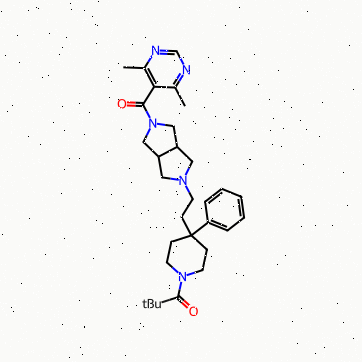 Cc1ncnc(C)c1C(=O)N1CC2CN(CCC3(c4ccccc4)CCN(C(=O)C(C)(C)C)CC3)CC2C1